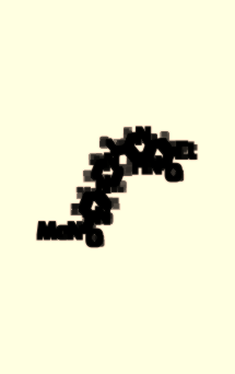 CCc1cc2ncc([C@H](C)N3CCN(c4ccc(C(=O)NC)nc4)CC3)cc2[nH]c1=O